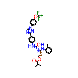 Cc1ccccc1N/C(=N\C(=O)Nc1ccc(-c2ncn(-c3ccc(OC(F)(F)F)cc3)n2)cc1)SCOC(=O)C(C)C